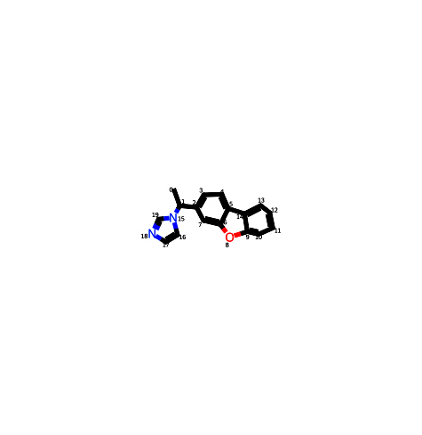 CC(c1ccc2c(c1)oc1ccccc12)n1ccnc1